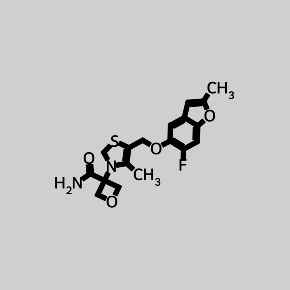 CC1=C(COc2cc3cc(C)oc3cc2F)SCN1C1(C(N)=O)COC1